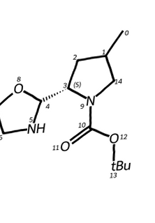 CC1C[C@@H](C2NCCO2)N(C(=O)OC(C)(C)C)C1